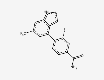 NC(=O)c1ccc(-c2cc(C(F)(F)F)cc3[nH]ncc23)c(F)c1